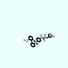 Cc1ccccc1-c1ccccc1S(=O)(=O)c1ccc(NC(=O)NCc2cn[nH]c2)cc1